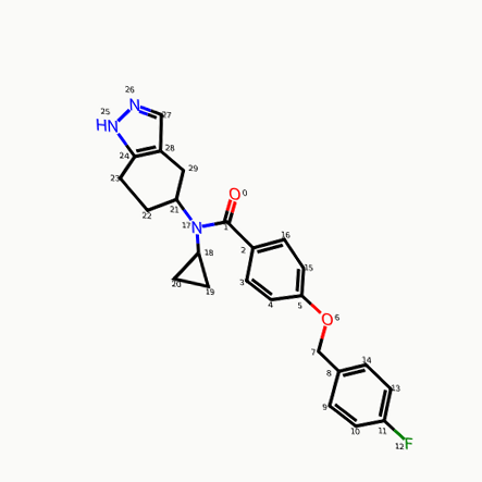 O=C(c1ccc(OCc2ccc(F)cc2)cc1)N(C1CC1)C1CCc2[nH]ncc2C1